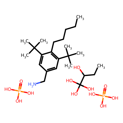 CCC(O)C(O)(O)O.CCCCCc1c(C(C)(C)C)cc(CN)cc1C(C)(C)C.O=P(O)(O)O.O=P(O)(O)O